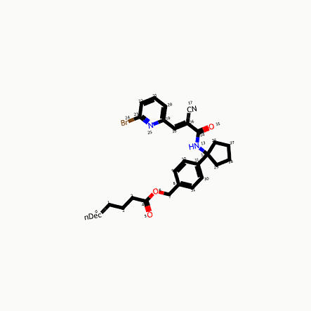 CCCCCCCCCCCCCC(=O)OCc1ccc(C2(NC(=O)C(C#N)=Cc3cccc(Br)n3)CCCC2)cc1